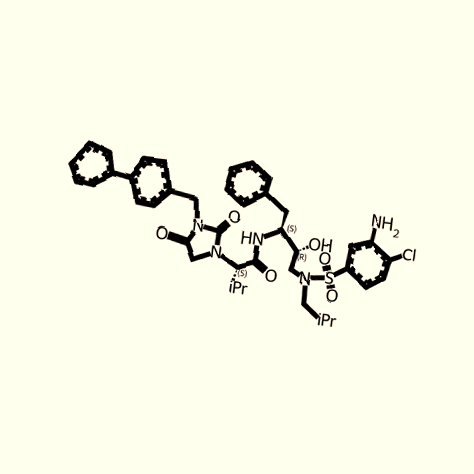 CC(C)CN(C[C@@H](O)[C@H](Cc1ccccc1)NC(=O)[C@H](C(C)C)N1CC(=O)N(Cc2ccc(-c3ccccc3)cc2)C1=O)S(=O)(=O)c1ccc(Cl)c(N)c1